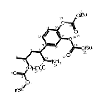 CCCCOC(=O)OC(C)CC(c1ccc(OC(=O)OCC(C)C)c(OC(=O)OCC(C)C)c1)[C@H](N)C(=O)O